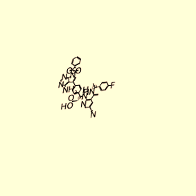 C=C(N[C@@H](C)c1ccc(F)cc1)c1cc(C#N)cnc1N[C@H](CC(=O)O)c1ccc(-c2cn(S(=O)(=O)c3ccccc3)c3ncnc(N)c23)cc1